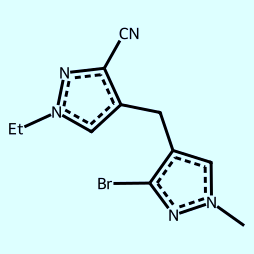 CCn1cc(Cc2cn(C)nc2Br)c(C#N)n1